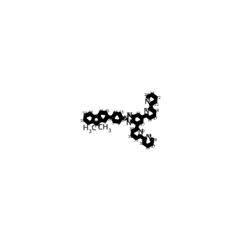 CC1(C)c2cc(-c3ccc(-n4nc5cc(-c6cccc(-c7ccccn7)n6)cc(-c6cccc(-c7ccccn7)n6)c5n4)cc3)ccc2C2C=CC=CC21